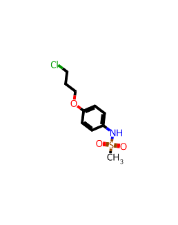 CS(=O)(=O)Nc1ccc(OCCCCl)cc1